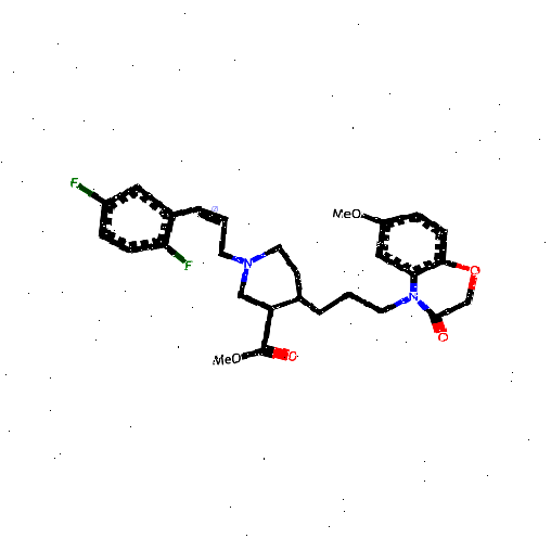 COC(=O)C1CN(C/C=C\c2cc(F)ccc2F)CCC1CCCN1C(=O)COc2ccc(OC)cc21